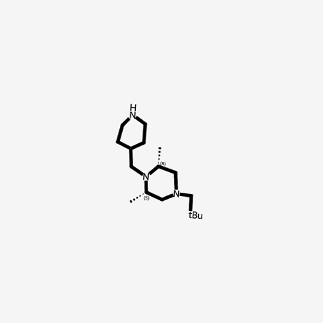 C[C@@H]1CN(CC(C)(C)C)C[C@H](C)N1CC1CCNCC1